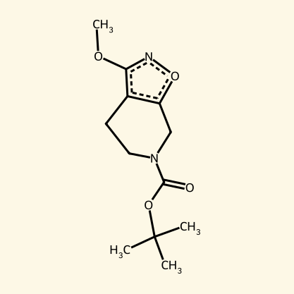 COc1noc2c1CCN(C(=O)OC(C)(C)C)C2